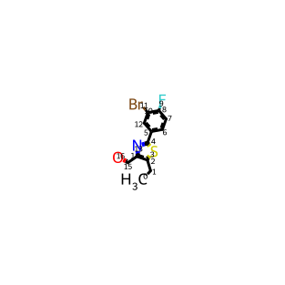 CCc1sc(-c2ccc(F)c(Br)c2)nc1C=O